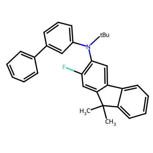 CC1(C)c2ccccc2-c2cc(N(c3cccc(-c4ccccc4)c3)C(C)(C)C)c(F)cc21